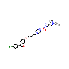 CN(C)CCCNC(=O)CN1CCN(CCCCCOc2ccc3c(-c4ccc(Cl)cc4)coc3c2)CC1